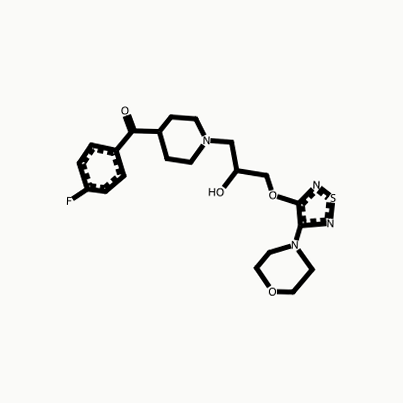 O=C(c1ccc(F)cc1)C1CCN(CC(O)COc2nsnc2N2CCOCC2)CC1